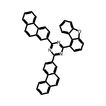 c1ccc2c(c1)ccc1cc(-c3nc(-c4ccc5c(ccc6ccccc65)c4)nc(-c4cccc5oc6ccccc6c45)n3)ccc12